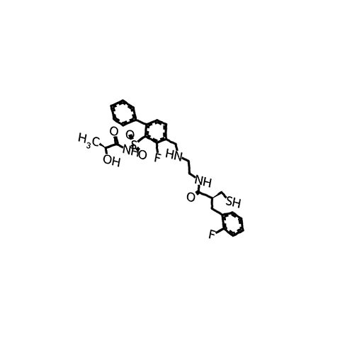 C[C@H](O)C(=O)NS(=O)(=O)c1c(-c2ccccc2)ccc(CNCCNC(=O)[C@@H](CS)Cc2ccccc2F)c1F